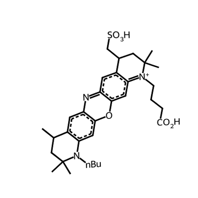 CCCCN1c2cc3c(cc2C(C)CC1(C)C)N=c1cc2c(cc1O3)=[N+](CCCC(=O)O)C(C)(C)CC2CS(=O)(=O)O